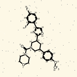 O=C(N1CCOCC1)N1CC(c2ccc(OC(F)(F)F)cc2)CC(c2nc(-c3ccc(F)cc3F)co2)C1